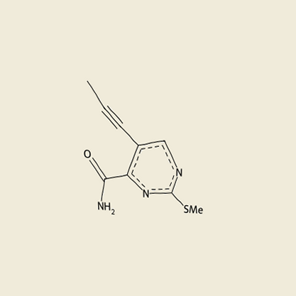 CC#Cc1cnc(SC)nc1C(N)=O